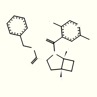 CC(=O)c1cnc(C)cc1C(=O)N1[C@@H](C(=O)OCc2ccccc2)C[C@H]2CC[C@H]21